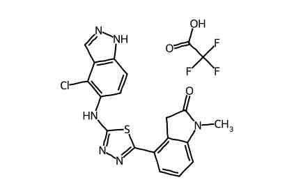 CN1C(=O)Cc2c(-c3nnc(Nc4ccc5[nH]ncc5c4Cl)s3)cccc21.O=C(O)C(F)(F)F